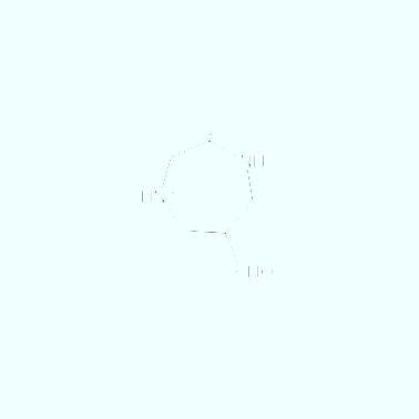 O=[C]C1CNCCNO1